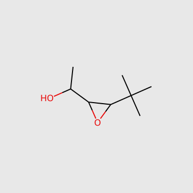 CC(O)C1OC1C(C)(C)C